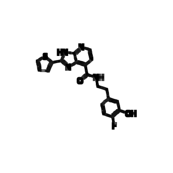 O=C(NCCc1ccc(F)c(O)c1)c1ccnc2[nH]c(-c3cccs3)nc12